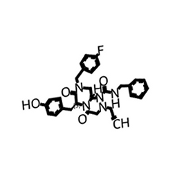 C#CCN1CC(=O)N2[C@@H](Cc3ccc(O)cc3)C(=O)N(Cc3ccc(F)cc3)C[C@@H]2N1C(=O)NCc1ccccc1